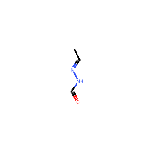 CC=NN[C]=O